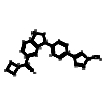 Cn1cc(-c2ccc(N3CNc4ccc(C(=O)N5CCC5)cc43)cc2)cn1